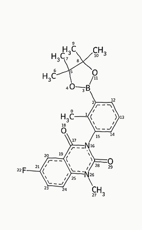 Cc1c(B2OC(C)(C)C(C)(C)O2)cccc1-n1c(=O)c2cc(F)ccc2n(C)c1=O